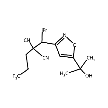 [C-]#[N+]C(C#N)(CCC(F)(F)F)C(c1cc(C(C)(C)O)on1)C(C)C